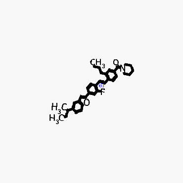 CCCCc1cc(C(=O)N2CCCCC2)ccc1/C=C/c1ccc(-c2cc3cc(C(C)CC)ccc3o2)cc1F